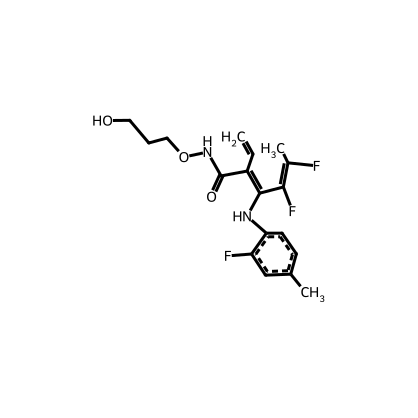 C=C/C(C(=O)NOCCCO)=C(Nc1ccc(C)cc1F)\C(F)=C(/C)F